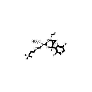 C[C@]1(c2cc(Br)cnc2F)N=C(N(COCC[Si](C)(C)C)C(=O)O)S[C@@]2(CF)C[C@H]21